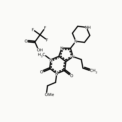 C=CCn1c(N2CCNCC2)nc2c1c(=O)n(CCOC)c(=O)n2C.O=C(O)C(F)(F)F